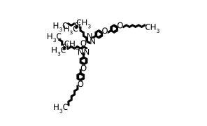 CCCCCCCCCOc1ccc(COc2ccc(-c3ncc(Oc4cnc(-c5ccc(OCc6ccc(OCCCCCCCCC)cc6)cc5)nc4CCCC[Si](C)(C)CCCC)c(CCCC[Si](C)(C)CCCC)n3)cc2)cc1